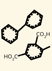 Cc1ccc(C(=O)O)cc1C(=O)O.c1ccc(-c2ccccc2)cc1